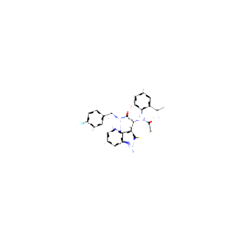 CCc1ccccc1N1C(=O)CSc2c(c3ccccc3n2C)C1C(=O)NCc1ccc(F)cc1